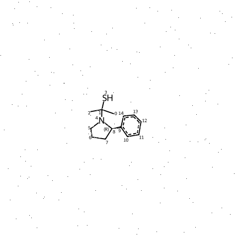 CC(C)(S)N1CCC[C@@H]1c1ccccc1